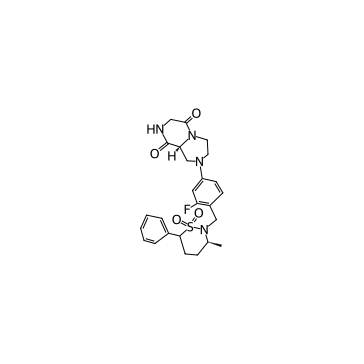 C[C@H]1CCC(c2ccccc2)S(=O)(=O)N1Cc1ccc(N2CCN3C(=O)CNC(=O)[C@H]3C2)cc1F